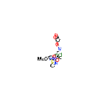 COc1ccc(OCCCCN(C)CCOc2ccc3c(c2)OOC3)c(C2(NCC(C)=O)Sc3ccccc3N(C)C2=O)c1.Cl